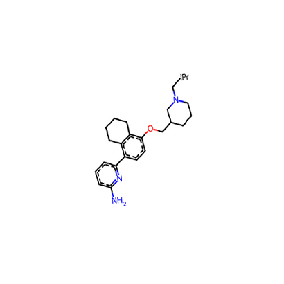 CC(C)CN1CCCC(COc2ccc(-c3cccc(N)n3)c3c2CCCC3)C1